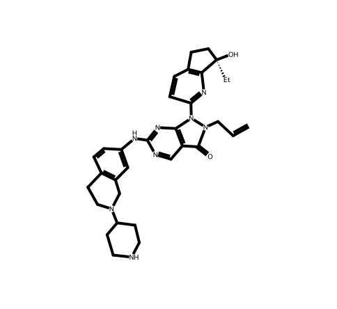 C=CCn1c(=O)c2cnc(Nc3ccc4c(c3)CN(C3CCNCC3)CC4)nc2n1-c1ccc2c(n1)[C@@](O)(CC)CC2